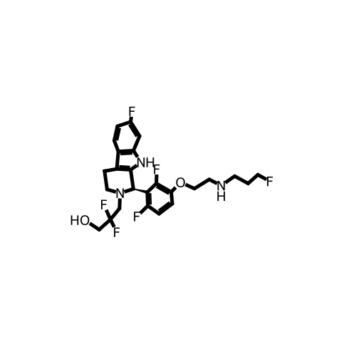 OCC(F)(F)CN1CCc2c([nH]c3cc(F)ccc23)[C@H]1c1c(F)ccc(OCCNCCCF)c1F